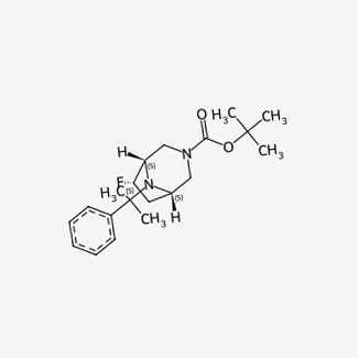 CC(C)(C)OC(=O)N1C[C@@H]2C[C@H](F)[C@H](C1)N2C(C)(C)c1ccccc1